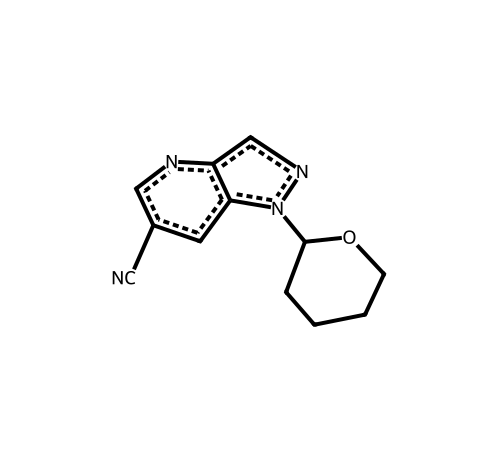 N#Cc1cnc2cnn(C3CCCCO3)c2c1